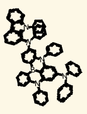 c1ccc(N(c2ccccc2)c2cc3c4c(c2)N(c2ccccc2)c2cc(N(c5ccccc5)c5cccc6c7ccccc7n(-c7ccccc7)c56)ccc2B4c2ccccc2N3c2ccccc2)cc1